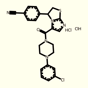 Cl.Cl.N#Cc1ccc(C2CSc3ncc(C(=O)N4CCN(c5cccc(Cl)c5)CC4)n32)cc1